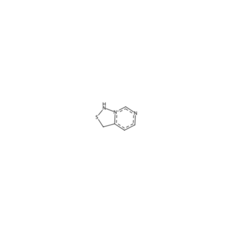 c1cc2[n+](cn1)NSC2